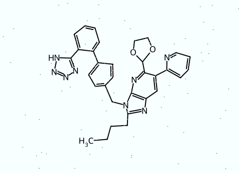 CCCCc1nc2cc(-c3ccccn3)c(C3OCCO3)nc2n1Cc1ccc(-c2ccccc2-c2nnn[nH]2)cc1